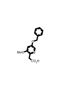 COc1cc(OCc2ccccc2)cnc1CC(=O)O